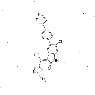 Cc1cc(C(O)=C2C(=O)Nc3cc(Cl)c(-c4ccc(-c5ccncc5)cc4)cc32)on1